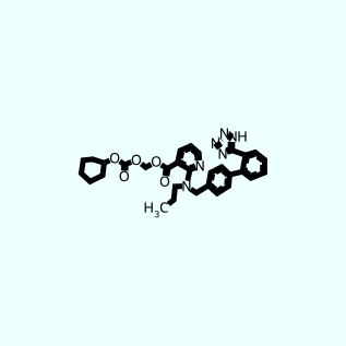 CCCN(Cc1ccc(-c2ccccc2-c2nnn[nH]2)cc1)c1ncccc1C(=O)OCOC(=O)OC1CCCCC1